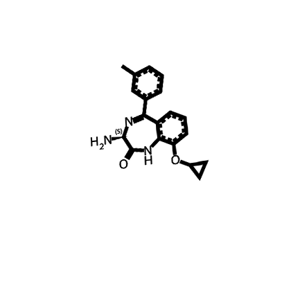 Cc1cccc(C2=N[C@H](N)C(=O)Nc3c(OC4CC4)cccc32)c1